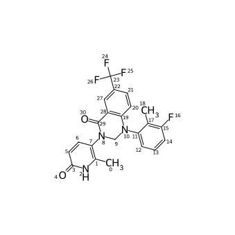 Cc1[nH]c(=O)ccc1N1CN(c2cccc(F)c2C)c2ccc(C(F)(F)F)cc2C1=O